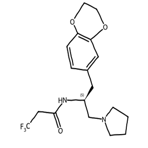 O=C(CC(F)(F)F)N[C@@H](Cc1ccc2c(c1)OCCO2)CN1CCCC1